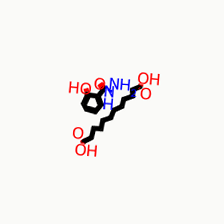 NNC(=O)c1ccccc1O.O=C(O)CCCCCCCCCCC(=O)O